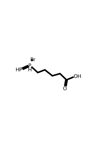 O=C(O)CCCC[PH](=P)Br